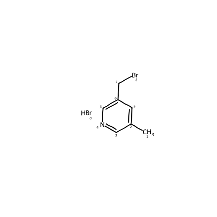 Br.Cc1cncc(CBr)c1